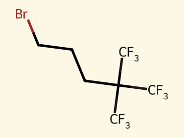 FC(F)(F)C(CCCBr)(C(F)(F)F)C(F)(F)F